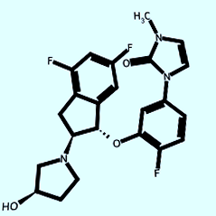 Cn1ccn(-c2ccc(F)c(O[C@H]3c4cc(F)cc(F)c4C[C@@H]3N3CC[C@@H](O)C3)c2)c1=O